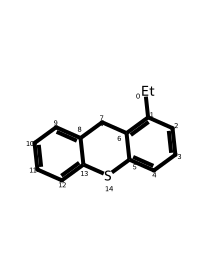 CCc1cccc2c1[CH]c1ccccc1S2